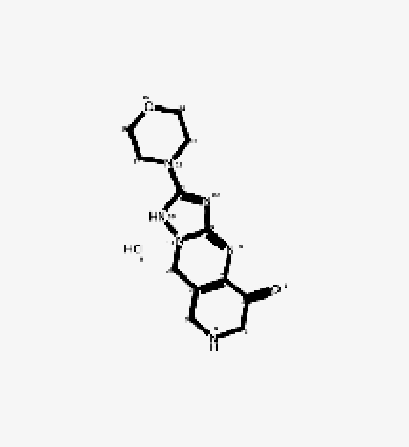 Cl.O=C1CNCC2=C1N=C1N=C(N3CCOCC3)NN1C2